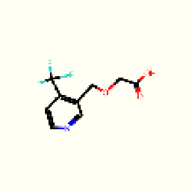 O=C(O)COCc1cnccc1C(F)(F)F